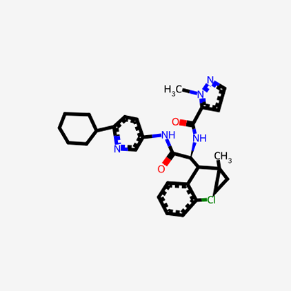 Cn1nccc1C(=O)N[C@H](C(=O)Nc1ccc(C2CCCCC2)nc1)C(c1ccccc1Cl)C1(C)CC1